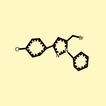 Clc1ccc(-c2cc(CBr)n(-c3ccccc3)n2)cc1